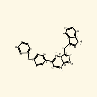 c1ccc(Cc2ccc(-c3cnc4nnc(Cc5c[nH]c6ccccc56)n4n3)cc2)cc1